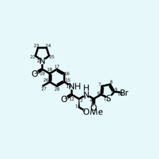 COC[C@H](NC(=O)c1ccc(Br)s1)C(=O)Nc1ccc(C(=O)N2CCCC2)c(C)c1